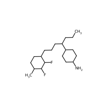 CCCC(CCCC1CCC(C)C(F)C1F)C1CCC(N)CC1